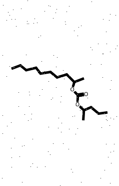 CCCCCCCCC(C)OC(=O)OC(C)CCC